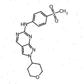 CS(=O)(=O)c1ccc(Nc2ncc3cn(C4CCOCC4)nc3n2)cc1